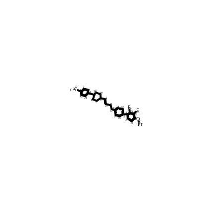 CCCc1ccc(C2CCC(/C=C/CCc3ccc(-c4ccc(OCC)c(F)c4F)cc3)CC2)cc1